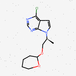 C[C@@H](COC1CCCCO1)n1ccc2c(Cl)ncnc21